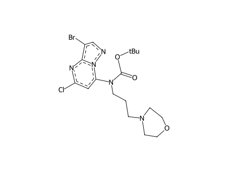 CC(C)(C)OC(=O)N(CCCN1CCOCC1)c1cc(Cl)nc2c(Br)cnn12